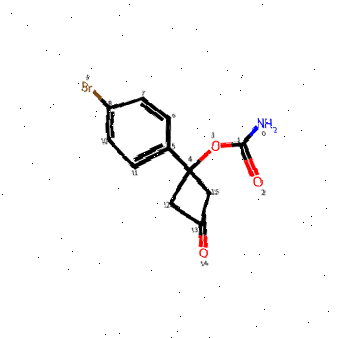 NC(=O)OC1(c2ccc(Br)cc2)CC(=O)C1